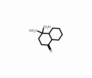 CCOC(=O)C1(C(=O)OCC)CCC(=O)C2CCCCC21